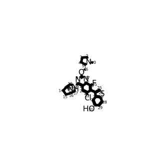 CN1CCC[C@H]1COc1nc(N2CC3CCC(C2)N3)c2cc(Cl)c(-c3csc4ccc(O)cc34)c(F)c2n1